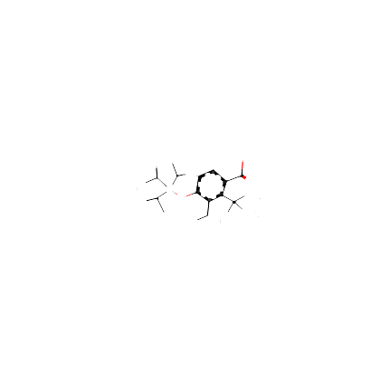 CCc1c(O[Si](C(C)C)(C(C)C)C(C)C)ccc(C(=O)O)c1C(C)(C)C